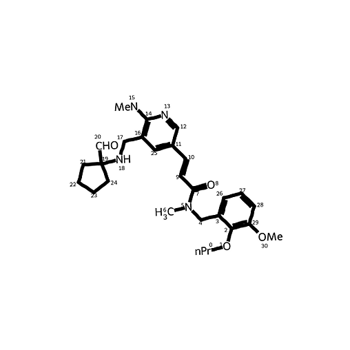 CCCOc1c(CN(C)C(=O)/C=C/c2cnc(NC)c(CNC3(C=O)CCCC3)c2)cccc1OC